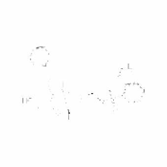 C=Cc1ccccc1S(=O)(=O)NC[C@H]1C[C@@H]2O[C@H](CO)[C@@H](OCc3ccccc3)[C@@H]2O1